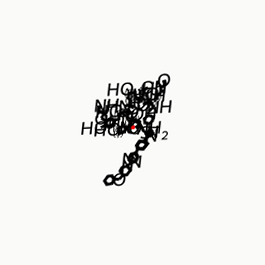 C[C@@H](O)[C@H](NC(=O)[C@H](C[C@@H](O)CNC=O)NC[C@H]1CC[C@H](c2nnc(-c3ccc(-c4cnc(N5CCC(OC6CCCCC6)CC5)nc4)cc3)s2)CC1)C(=O)N1C[C@H](O)C[C@H]1C(=O)N[C@H](C(=O)N[C@H](C(=O)N1C[C@@H](O)[C@@H](C)C1)[C@H](O)CC(N)=O)[C@H](O)Cc1ccc(O)c(OCCN)c1